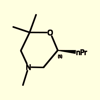 CCC[C@H]1CN(C)CC(C)(C)O1